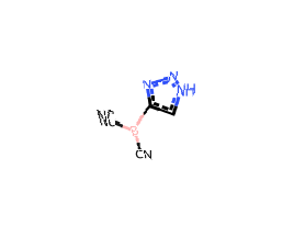 N#CB(C#N)c1c[nH]nn1